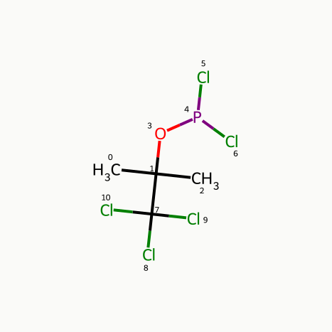 CC(C)(OP(Cl)Cl)C(Cl)(Cl)Cl